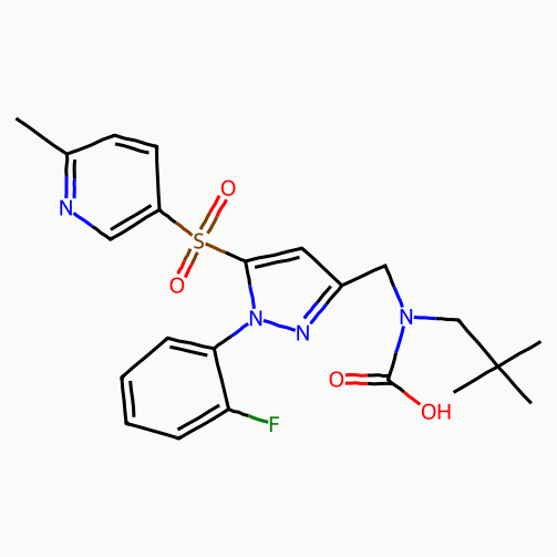 Cc1ccc(S(=O)(=O)c2cc(CN(CC(C)(C)C)C(=O)O)nn2-c2ccccc2F)cn1